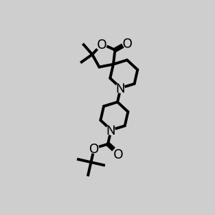 CC(C)(C)OC(=O)N1CCC(N2CCCC3(C2)CC(C)(C)OC3=O)CC1